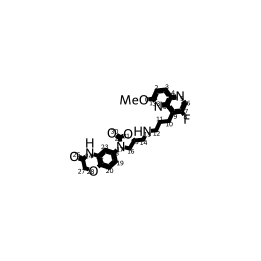 COc1ccc2ncc(F)c(CCCNCC3CN(c4ccc5c(c4)NC(=O)CO5)C(=O)O3)c2n1